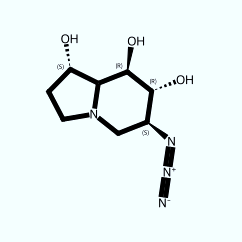 [N-]=[N+]=N[C@H]1CN2CC[C@H](O)C2[C@@H](O)[C@@H]1O